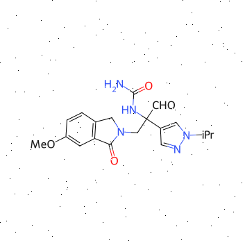 COc1ccc2c(c1)C(=O)N(CC(C=O)(NC(N)=O)c1cnn(C(C)C)c1)C2